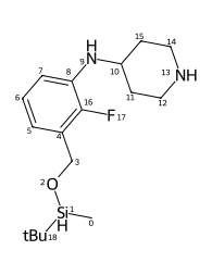 C[SiH](OCc1cccc(NC2CCNCC2)c1F)C(C)(C)C